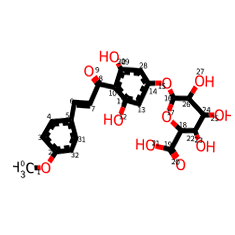 COc1ccc(C=CC(=O)c2c(O)cc(OC3OC(C(=O)O)C(O)C(O)C3O)cc2O)cc1